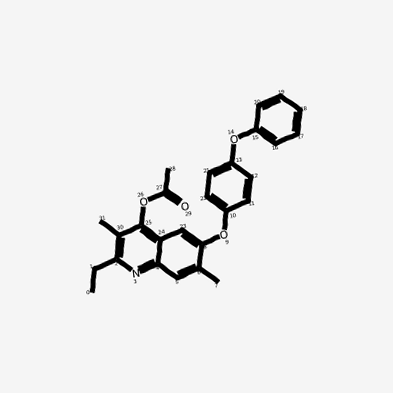 CCc1nc2cc(C)c(Oc3ccc(Oc4ccccc4)cc3)cc2c(OC(C)=O)c1C